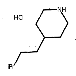 CC(C)CCC1CCNCC1.Cl